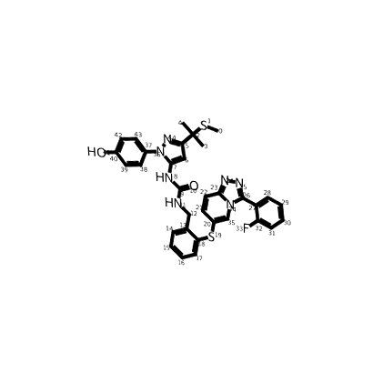 CSC(C)(C)c1cc(NC(=O)NCc2ccccc2Sc2ccc3nnc(-c4ccccc4F)n3c2)n(-c2ccc(O)cc2)n1